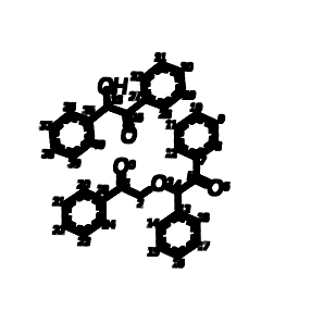 O=C(COC(C(=O)c1ccccc1)c1ccccc1)c1ccccc1.O=C(c1ccccc1)C(O)c1ccccc1